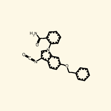 NC(=O)c1ccccc1-n1cc(N=C=O)c2ccc(OCc3ccccc3)cc21